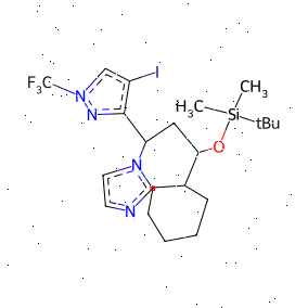 CC(C)(C)[Si](C)(C)OC(CC(c1nn(C(F)(F)F)cc1I)n1ccnc1)C1CCCCC1